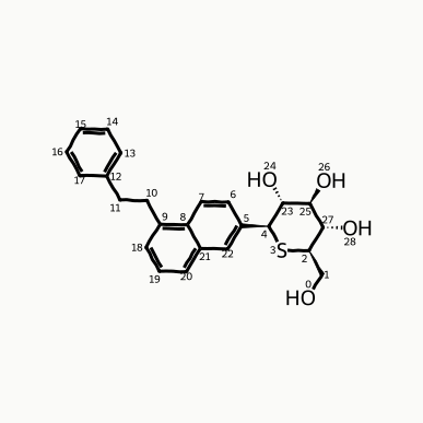 OC[C@H]1S[C@@H](c2ccc3c(CCc4ccccc4)cccc3c2)[C@H](O)[C@@H](O)[C@@H]1O